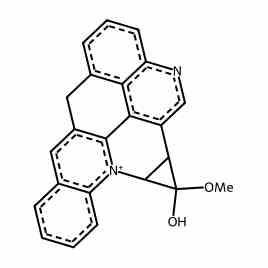 COC1(O)C2c3cnc4cccc5c4c3-c3c(cc4ccccc4[n+]3C21)C5